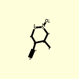 C#CC1CS[S+]([O-])CC1C